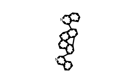 c1ccc2c(-c3ccc4c5c3ccc3ccc6c(-c7cncc8ccccc78)ccc-4c6c35)cncc2c1